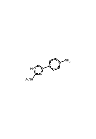 CC(=O)Nc1nc(-c2ccc(N)cc2)c[nH]1